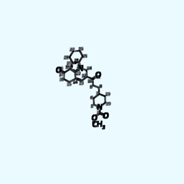 COC(=O)N1CCC(CCC(=O)C2C=C3CCC(=O)c4c5c(n(c43)C2)CCCC5)CC1